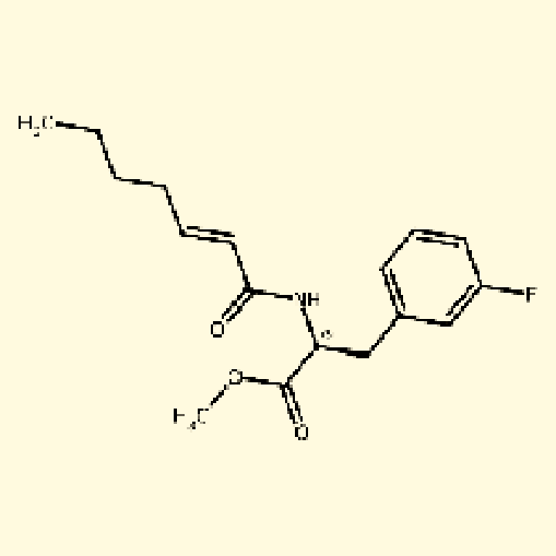 CCCCC=CC(=O)N[C@@H](Cc1cccc(F)c1)C(=O)OC